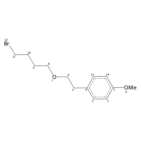 COc1ccc(CCOCCCCBr)cc1